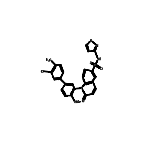 COc1ccc(-c2ccc(C)c(Cl)c2)cc1-n1c(=O)ccc2cc(S(=O)(=O)Nc3ccon3)ccc21